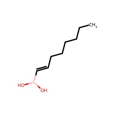 CCCCCCC=CB(O)O